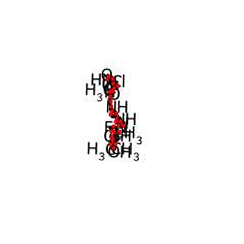 Cc1c(NC(=O)c2ccc(C(C)(C)O)cc2F)cc(F)cc1-c1ncnc2[nH]c(-c3ccc(CNCCCCCN(C)C(=O)c4ccc(Cl)c(N5CCC(=O)NC5=O)c4)cc3)cc12